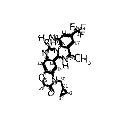 Cc1nc(N[C@H](C)c2cc(N)cc(C(F)(F)F)c2)c2cc3c(cc2n1)OCC(=O)N3CC1CC1